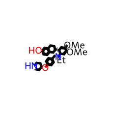 CCN(Cc1ccc(OC2CCNCC2)cc1)C1C=C(OC)C(OC)=CC1[C@@H]1CCc2cc(O)ccc2C1